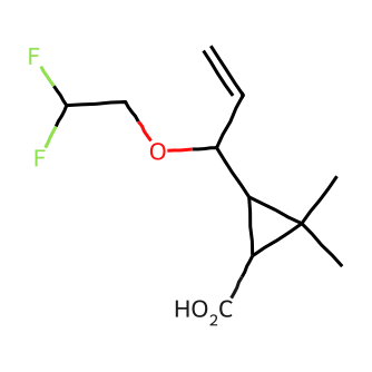 C=CC(OCC(F)F)C1C(C(=O)O)C1(C)C